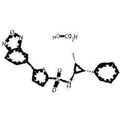 C[C@H]1[C@H](NS(=O)(=O)c2ccc(-c3ccc4nonc4c3)s2)[C@H]1c1ccccc1.O=C(O)O